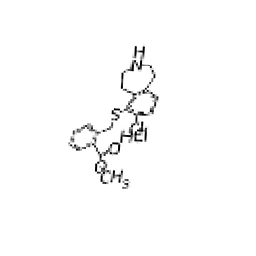 COC(=O)c1ccccc1CSc1c(Cl)ccc2c1CCNCC2.Cl